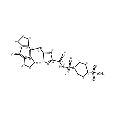 CS(=O)(=O)C1CCN(S(=O)(=O)NC(=O)c2coc(Nc3c4c(c(Cl)c5c3CCC5)CCC4)n2)CC1